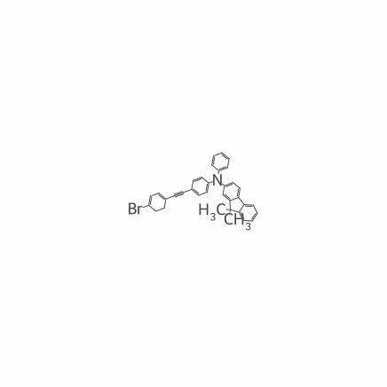 CC1(C)c2ccccc2-c2ccc(N(c3ccccc3)c3ccc(C#CC4=CC=C(Br)CC4)cc3)cc21